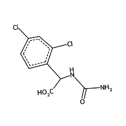 NC(=O)NC(C(=O)O)c1ccc(Cl)cc1Cl